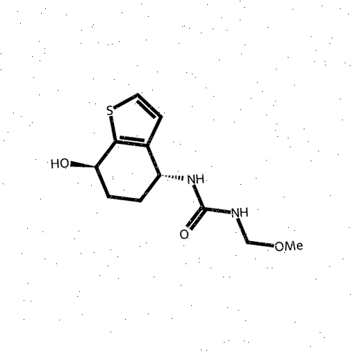 COCNC(=O)N[C@@H]1CC[C@@H](O)c2sccc21